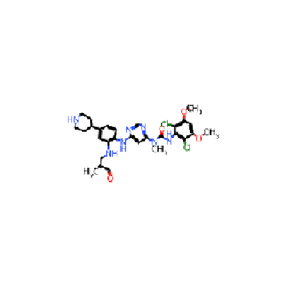 C=C(C=O)CNc1cc(C2CCNCC2)ccc1Nc1cc(N(C)C(=O)Nc2c(Cl)c(OC)cc(OC)c2Cl)ncn1